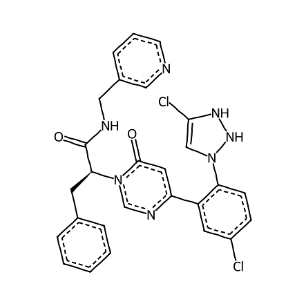 O=C(NCc1cccnc1)[C@H](Cc1ccccc1)n1cnc(-c2cc(Cl)ccc2N2C=C(Cl)NN2)cc1=O